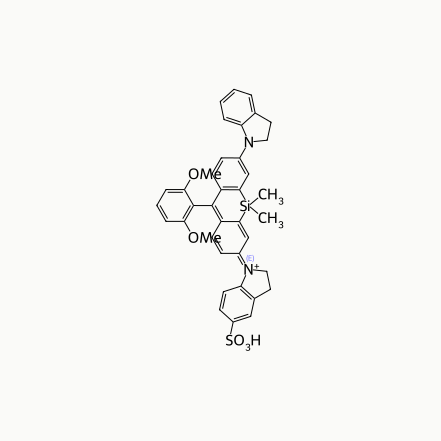 COc1cccc(OC)c1C1=C2C=C/C(=[N+]3/CCc4cc(S(=O)(=O)O)ccc43)C=C2[Si](C)(C)c2cc(N3CCc4ccccc43)ccc21